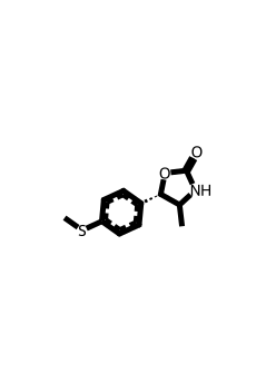 CSc1ccc([C@@H]2OC(=O)NC2C)cc1